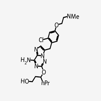 CCCC(CCO)Oc1nc(N)c2ncc(Cc3ccc(OCCNC)cc3Cl)n2n1